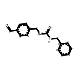 O=Cc1ccc(CNC(=O)OCc2ccccc2)cc1